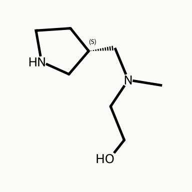 CN(CCO)C[C@H]1CCNC1